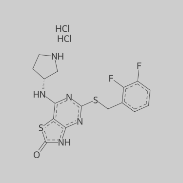 Cl.Cl.O=c1[nH]c2nc(SCc3cccc(F)c3F)nc(N[C@@H]3CCNC3)c2s1